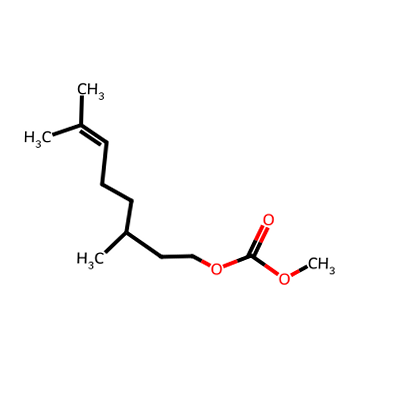 COC(=O)OCCC(C)CCC=C(C)C